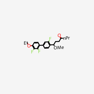 CCCC(=O)CCC(OC)c1ccc(-c2ccc(OCC)c(F)c2F)cc1F